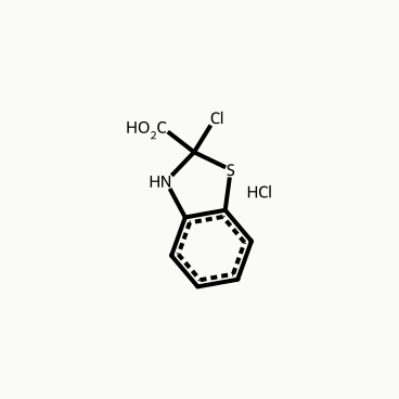 Cl.O=C(O)C1(Cl)Nc2ccccc2S1